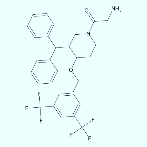 NCC(=O)N1CCC(OCc2cc(C(F)(F)F)cc(C(F)(F)F)c2)C(C(c2ccccc2)c2ccccc2)C1